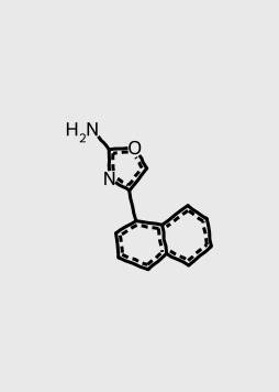 Nc1nc(-c2cccc3ccccc23)co1